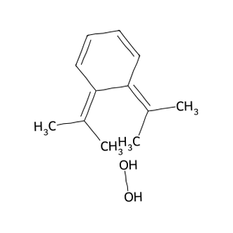 CC(C)=c1ccccc1=C(C)C.OO